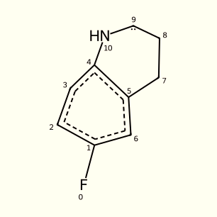 Fc1ccc2c(c1)CC[C]N2